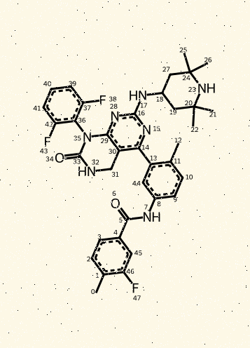 Cc1ccc(C(=O)Nc2ccc(C)c(-c3nc(NC4CC(C)(C)NC(C)(C)C4)nc4c3CNC(=O)N4c3c(F)cccc3F)c2)cc1F